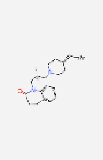 CCCC=C1CCN(C[C@@H](C)CN2C(=O)CCc3ccccc32)CC1